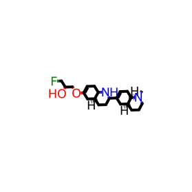 CN1CCC[C@@H]2CC(C3CC[C@@H]4CC(OCC(O)CF)=CCC4N3)=CC[C@@H]21